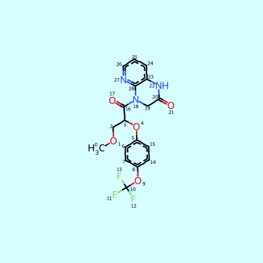 COCC(Oc1ccc(OC(F)(F)F)cc1)C(=O)N1CC(=O)Nc2cccnc21